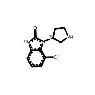 O=c1[nH]c2cccc(Cl)c2n1[C@H]1CCNC1